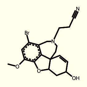 COc1cc(Br)c2c3c1OC1CC(O)C=CC31CCN(CCC#N)C2